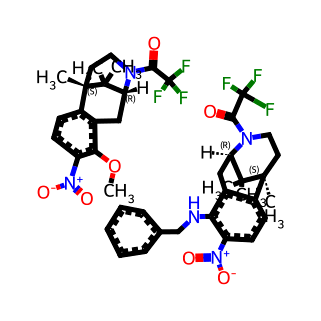 CC1(C)[C@H]2Cc3c(ccc([N+](=O)[O-])c3NCc3ccccc3)[C@]1(C)CCN2C(=O)C(F)(F)F.COc1c([N+](=O)[O-])ccc2c1C[C@H]1N(C(=O)C(F)(F)F)CC[C@]2(C)C1(C)C